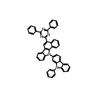 c1ccc(-c2nc(-c3ccccc3)nc(-c3cc4c5ccccc5n(-c5ccc6c7ccccc7n(-c7ccccc7)c6c5)c4c4ccccc34)n2)cc1